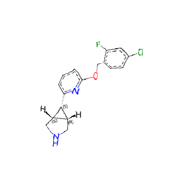 Fc1cc(Cl)ccc1COc1cccc([C@@H]2[C@@H]3CNC[C@@H]32)n1